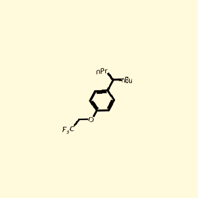 CCCCC(CCC)c1ccc(OCC(F)(F)F)cc1